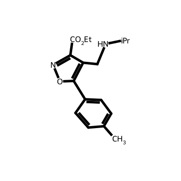 CCOC(=O)c1noc(-c2ccc(C)cc2)c1CNC(C)C